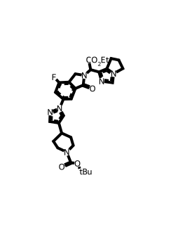 CCOC(=O)C(c1ncn2c1CCC2)N1Cc2c(F)cc(-n3cc(C4CCN(C(=O)OC(C)(C)C)CC4)cn3)cc2C1=O